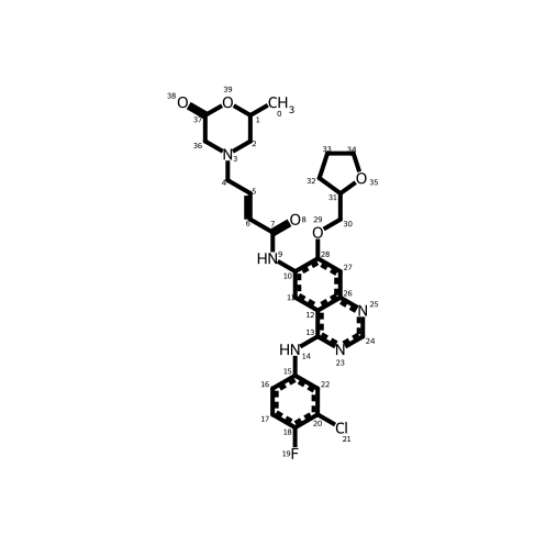 CC1CN(CC=CC(=O)Nc2cc3c(Nc4ccc(F)c(Cl)c4)ncnc3cc2OCC2CCCO2)CC(=O)O1